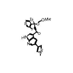 CCC(C#CC(=O)c1c[nH]c2ncc(-c3cnn(C)c3)cc12)(OCOC)c1ccncc1F